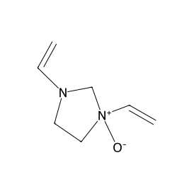 C=CN1CC[N+]([O-])(C=C)C1